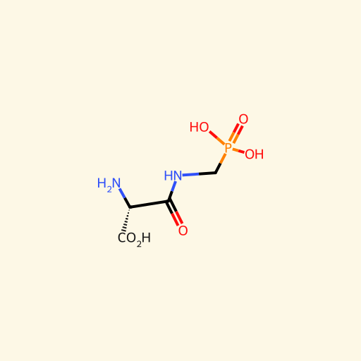 N[C@@H](C(=O)O)C(=O)NCP(=O)(O)O